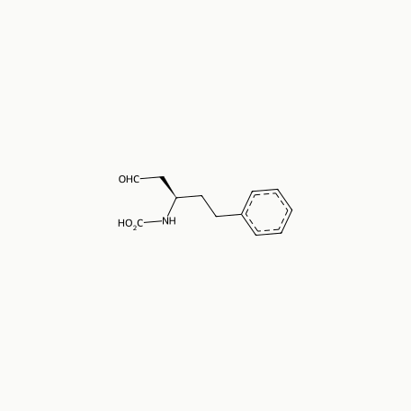 O=CC[C@@H](CCc1ccccc1)NC(=O)O